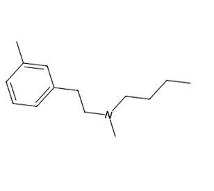 CCCCN(C)CCc1cccc(C)c1